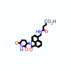 O=C(O)CCC(=O)NCc1ccc2c3c(cccc13)C(=O)N2C1CCC(=O)NC1=O